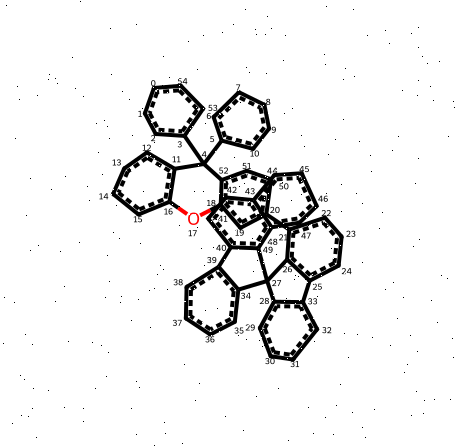 c1ccc(C2(c3ccccc3)c3ccccc3Oc3cc(-c4cccc5c4C4(c6ccccc6-5)c5ccccc5-c5ccc6ccccc6c54)ccc32)cc1